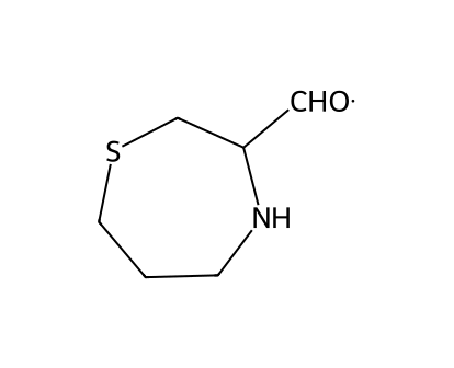 O=[C]C1CSCCCN1